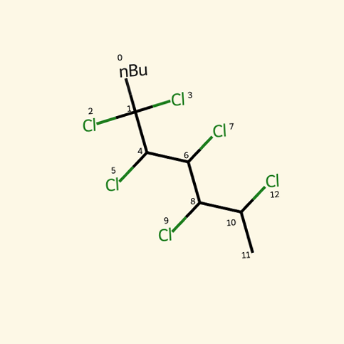 CCCCC(Cl)(Cl)C(Cl)C(Cl)C(Cl)C(C)Cl